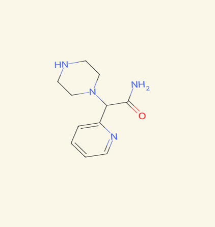 NC(=O)C(c1ccccn1)N1CCNCC1